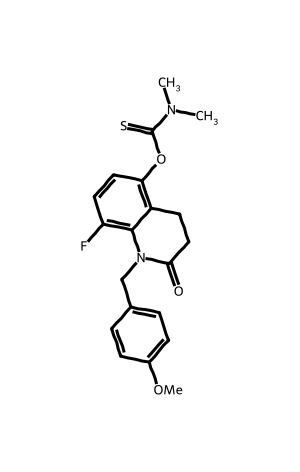 COc1ccc(CN2C(=O)CCc3c(OC(=S)N(C)C)ccc(F)c32)cc1